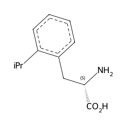 CC(C)c1ccccc1C[C@H](N)C(=O)O